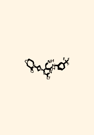 N=Cc1c(Nc2cccc(C(F)(F)F)c2)nc(Cl)nc1N1CC(N2CCOCC2=O)C1